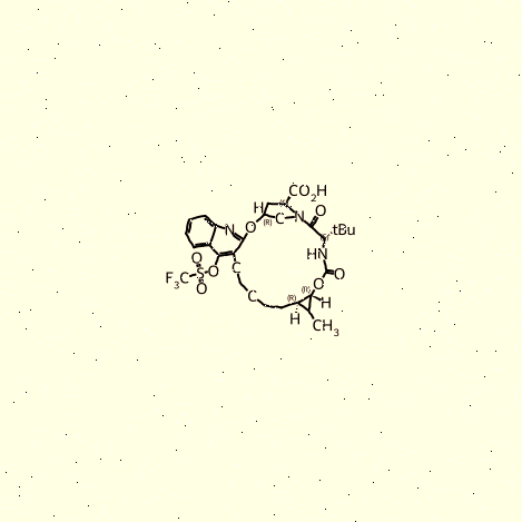 CC1[C@H]2CCCCCc3c(nc4ccccc4c3OS(=O)(=O)C(F)(F)F)O[C@@H]3C[C@@H](C(=O)O)N(C3)C(=O)[C@H](C(C)(C)C)NC(=O)O[C@H]12